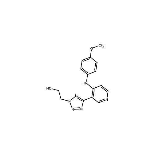 OCCn1nnc(-c2cnccc2Nc2ccc(OC(F)(F)F)cc2)n1